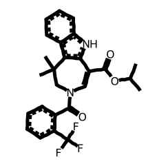 CC(C)OC(=O)C1=CN(C(=O)c2ccccc2C(F)(F)F)CC(C)(C)c2c1[nH]c1ccccc21